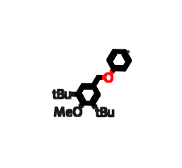 COc1c(C(C)(C)C)cc(COc2cc[c]cc2)cc1C(C)(C)C